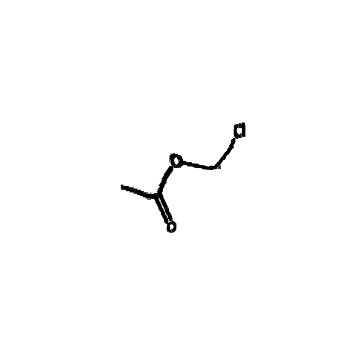 CC(=O)O[CH]Cl